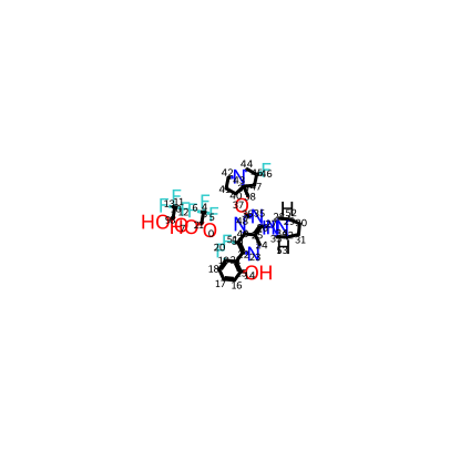 O=C(O)C(F)(F)F.O=C(O)C(F)(F)F.Oc1cccc(F)c1-c1ncc2c(N3C[C@H]4CC[C@@H](C3)N4)nc(OCC34CCCN3CC(F)C4)nc2c1F